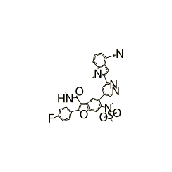 CNC(=O)c1c(-c2ccc(F)cc2)oc2cc(N(C)S(C)(=O)=O)c(-c3cnnc(-c4cc5c(C#N)cccc5n4C)c3)cc12